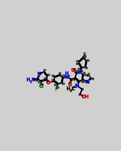 CN(CCO)c1c(C(=O)Nc2ccc(Oc3ccnc(N)c3Cl)c(F)c2)c(=O)n(-c2ccc(F)cc2)c2scnc12